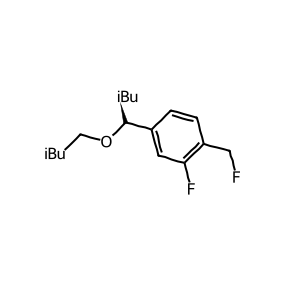 CCC(C)COC(c1ccc(CF)c(F)c1)[C@H](C)CC